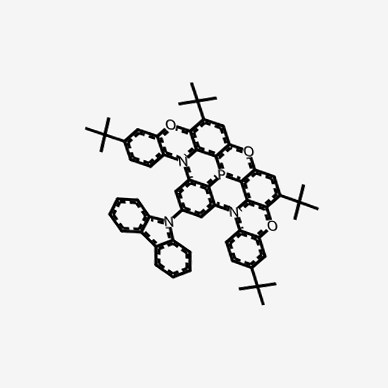 CC(C)(C)c1ccc2c(c1)oc1c(C(C)(C)C)cc3oc4cc(C(C)(C)C)c5oc6cc(C(C)(C)C)ccc6n6c7cc(-n8c9ccccc9c9ccccc98)cc8c7p(c3c1n28)c4c56